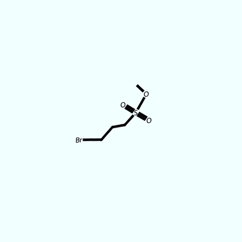 COS(=O)(=O)CCCBr